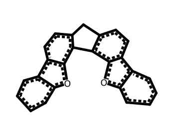 c1ccc2c(c1)oc1c3c(ccc12)Cc1ccc2c(oc4ccccc42)c1-3